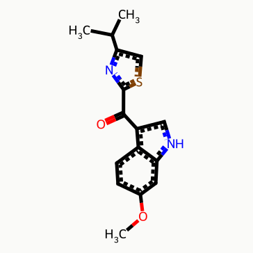 COc1ccc2c(C(=O)c3nc(C(C)C)cs3)c[nH]c2c1